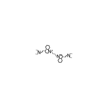 CCN(C=Cc1cc[n+](CCCC[n+]2ccc(C=CN(CC)CC)c3ccccc32)c2ccccc12)CC